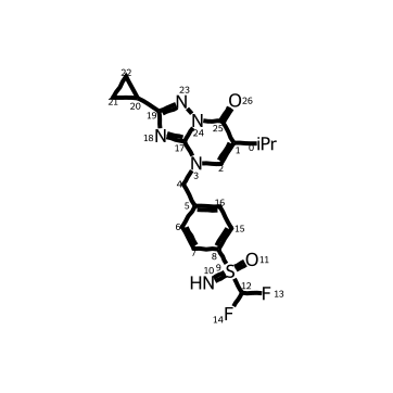 CC(C)c1cn(Cc2ccc(S(=N)(=O)C(F)F)cc2)c2nc(C3CC3)nn2c1=O